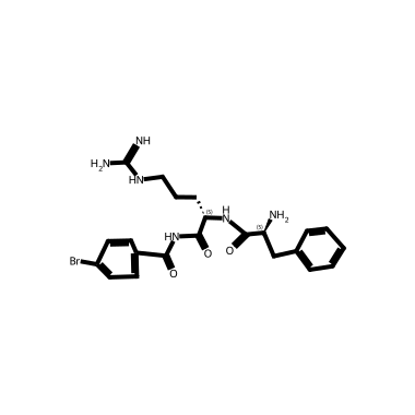 N=C(N)NCCC[C@H](NC(=O)[C@@H](N)Cc1ccccc1)C(=O)NC(=O)c1ccc(Br)cc1